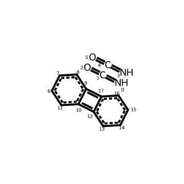 N=C=O.N=C=O.c1ccc2c(c1)=c1ccccc1=2